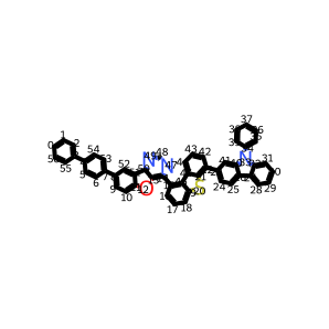 c1ccc(-c2ccc(-c3ccc4oc5c(-c6cccc7sc8c(-c9ccc%10c%11ccccc%11n(-c%11ccccc%11)c%10c9)cccc8c67)ncnc5c4c3)cc2)cc1